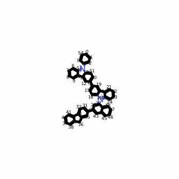 c1ccc(-n2c3ccccc3c3cc(-c4ccc5c(c4)c4ccccc4n5-c4cc(-c5ccc6c(c5)Cc5ccccc5-6)cc5ccccc45)ccc32)cc1